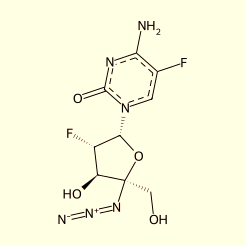 [N-]=[N+]=N[C@]1(CO)O[C@@H](n2cc(F)c(N)nc2=O)[C@@H](F)[C@@H]1O